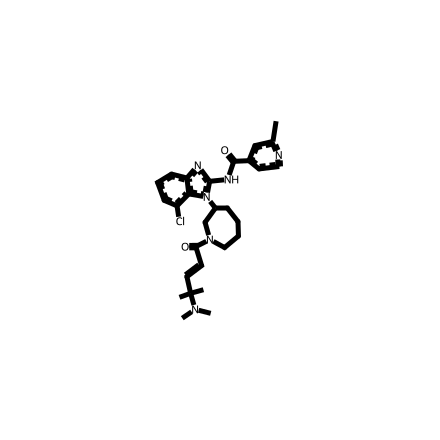 Cc1cc(C(=O)Nc2nc3cccc(Cl)c3n2C2CCCCN(C(=O)/C=C/C(C)(C)N(C)C)C2)ccn1